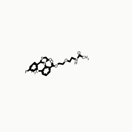 CC(=O)NCCOCCOC(=O)c1cccc(C)c1N1C(=O)CSC1c1ccc(F)cc1